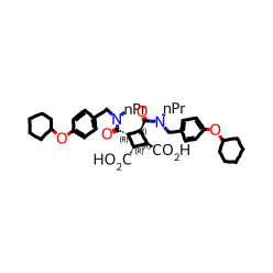 CCCN(Cc1ccc(OC2CCCCC2)cc1)C(=O)[C@H]1[C@@H](C(=O)O)[C@H](C(=O)O)[C@@H]1C(=O)N(CCC)Cc1ccc(OC2CCCCC2)cc1